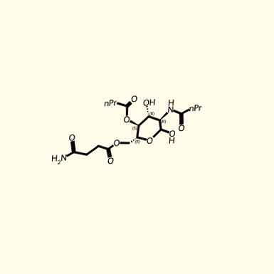 CCCC(=O)N[C@H]1C(O)O[C@H](COC(=O)CCC(N)=O)[C@@H](OC(=O)CCC)[C@@H]1O